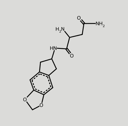 NC(=O)CC(N)C(=O)NC1Cc2cc3c(cc2C1)OCO3